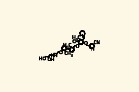 Cc1c(COc2cc(OCc3cncc(C#N)c3)c(CN3CCCC[C@H]3C)cc2Cl)cccc1-c1cccc(OCCCNCC(O)CO)c1C